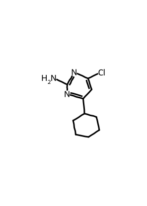 Nc1nc(Cl)cc(C2CCCCC2)n1